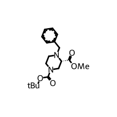 COC(=O)[C@@H]1CN(C(=O)OC(C)(C)C)CCN1Cc1ccccc1